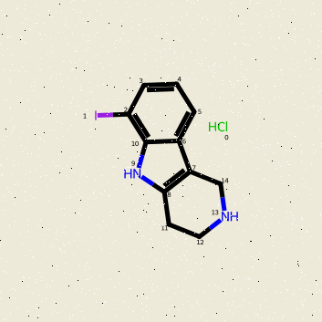 Cl.Ic1cccc2c3c([nH]c12)CCNC3